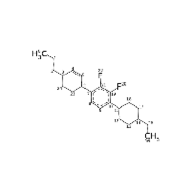 CCCC1C=CC(c2ccc(C3CCC(CC)CC3)c(F)c2F)CC1